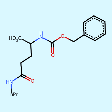 CCCNC(=O)CCC(NC(=O)OCc1ccccc1)C(=O)O